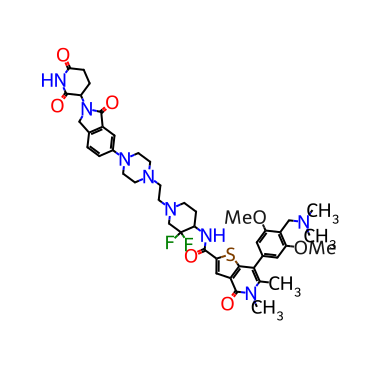 COc1cc(-c2c(C)n(C)c(=O)c3cc(C(=O)NC4CCN(CCN5CCN(c6ccc7c(c6)C(=O)N(C6CCC(=O)NC6=O)C7)CC5)CC4(F)F)sc23)cc(OC)c1CN(C)C